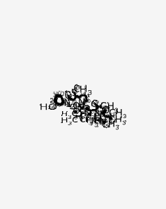 CCC(C)C(C(CC(=O)N1CCCC1C(CC(=O)N(CC)c1cccc(O)c1)SC)OC)N(C)C(=O)C(NC(=O)C(C(C)C)N(C)C)C(C)C